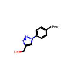 CCCCCc1ccc(-n2cc(CO)nn2)cc1